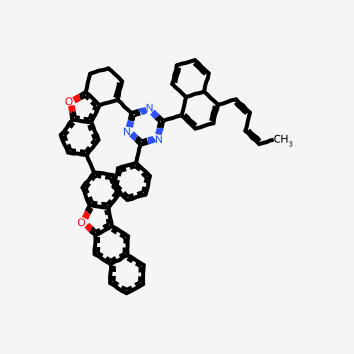 C/C=C\C=C/C1=CC=C(c2nc(C3=CCCc4oc5ccc(-c6ccc7c(c6)oc6cc8ccccc8cc67)cc5c43)nc(-c3ccccc3)n2)C2C=CC=CC12